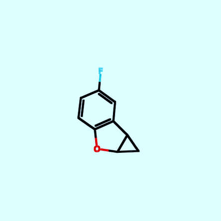 Fc1ccc2c(c1)C1CC1O2